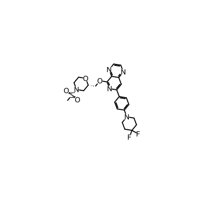 CS(=O)(=O)N1CCO[C@H](COc2nc(-c3ccc(N4CCC(F)(F)CC4)cc3)cc3nccnc23)C1